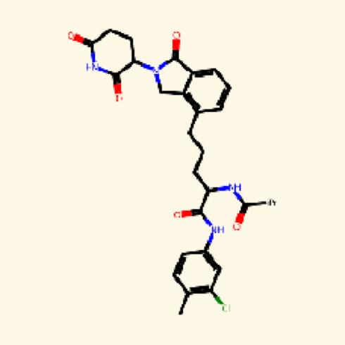 Cc1ccc(NC(=O)C(CCCc2cccc3c2CN(C2CCC(=O)NC2=O)C3=O)NC(=O)C(C)C)cc1Cl